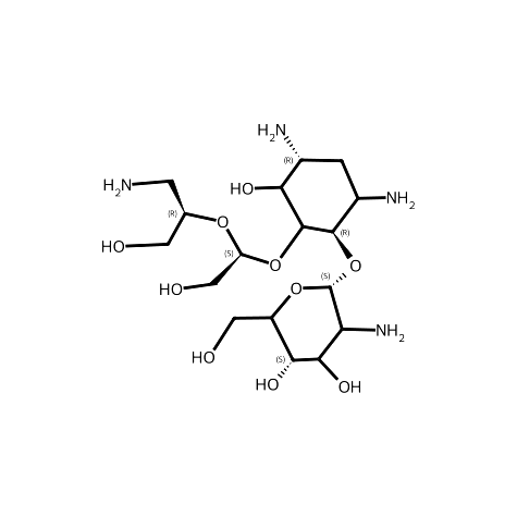 NC[C@H](CO)O[C@H](CO)OC1C(O)[C@H](N)CC(N)[C@H]1O[C@H]1OC(CO)[C@@H](O)C(O)C1N